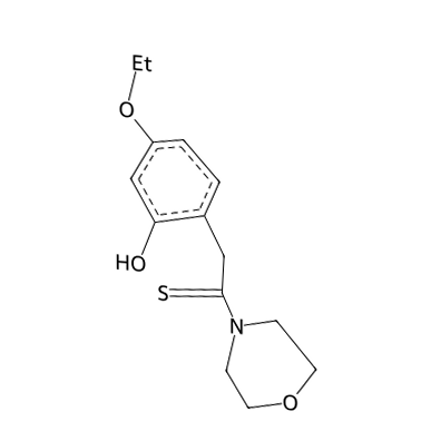 CCOc1ccc(CC(=S)N2CCOCC2)c(O)c1